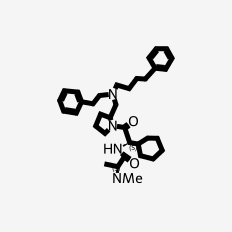 CN[C@@H](C)C(=O)N[C@H](C(=O)N1CCCC1CN(CCCCc1ccccc1)CCc1ccccc1)C1CCCCC1